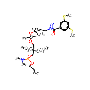 [C-]#[N+]CCOP(OCC(CO[Si](OC(C)(C)CCNC(=O)c1cc(SC(C)=O)cc(SC(C)=O)c1)(C(C)C)C(C)C)(C(=O)OCC)C(=O)OCC)N(C(C)C)C(C)C